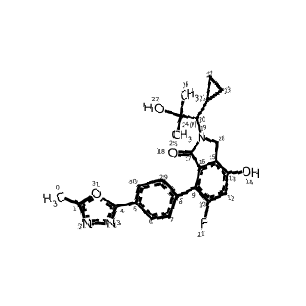 Cc1nnc(-c2ccc(-c3c(F)cc(O)c4c3C(=O)N([C@H](C3CC3)C(C)(C)O)C4)cc2)o1